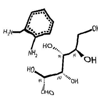 Nc1ccccc1N.O=C[C@H](O)[C@@H](O)[C@H](O)[C@H](O)CO